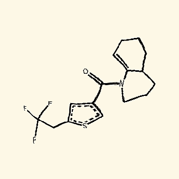 O=C(c1csc(CC(F)(F)F)c1)N1CCCC2CCCC=C21